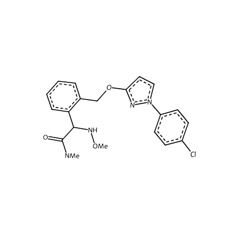 CNC(=O)C(NOC)c1ccccc1COc1ccn(-c2ccc(Cl)cc2)n1